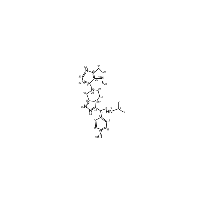 CC(C)NCC(c1ccc(Cl)cc1)c1nnc2n1CCN(c1ncnc3c1[C@H](C)CC3)C2